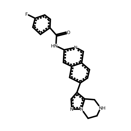 O=C(Nc1cc2cc(-c3cnn4c3CNCC4)ccc2cn1)c1ccc(F)cc1